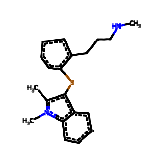 CNCCCc1ccccc1Sc1c(C)n(C)c2cc[c]cc12